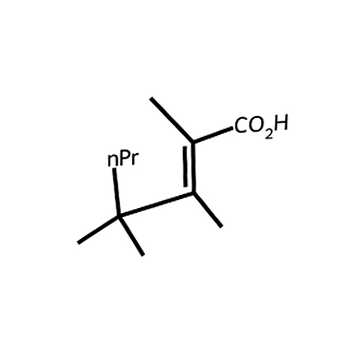 CCCC(C)(C)C(C)=C(C)C(=O)O